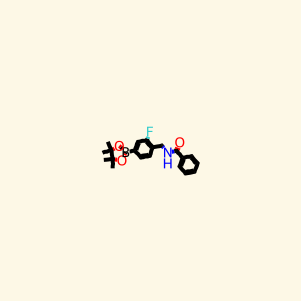 CC1(C)OB(c2ccc(CNC(=O)c3ccccc3)c(F)c2)OC1(C)C